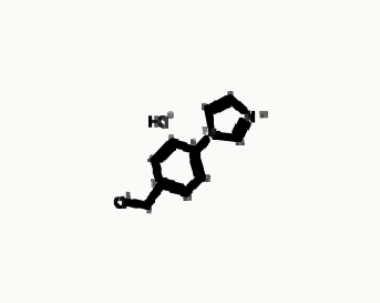 Cl.ClCc1ccc(-n2ccnc2)cc1